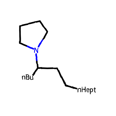 CCCCCCCCCC(CCCC)N1CCCC1